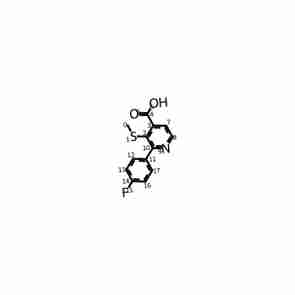 CSc1c(C(=O)O)ccnc1-c1ccc(F)cc1